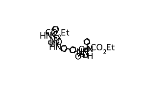 CCOC(=O)N[C@@H](C(=O)N1CCC[C@H]1C(=O)Nc1ccc(-c2ccc(NC(=O)[C@@H]3CCCN3C(=O)[C@H](NC(=O)OCC)c3ccccc3)cc2)cc1)c1ccccc1